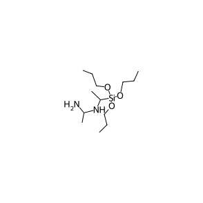 CCCO[Si](OCCC)(OCCC)C(C)NC(C)N